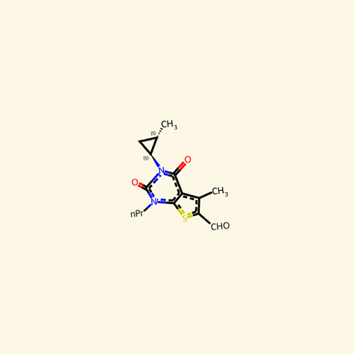 CCCn1c(=O)n([C@H]2C[C@@H]2C)c(=O)c2c(C)c(C=O)sc21